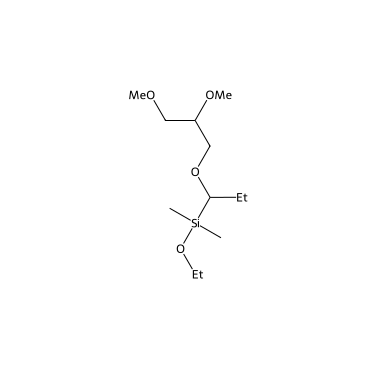 CCO[Si](C)(C)C(CC)OCC(COC)OC